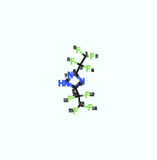 FC(F)C(F)(F)c1n[nH]c(C(F)(F)C(F)F)n1